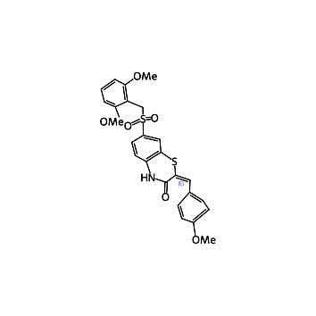 COc1ccc(/C=C2/Sc3cc(S(=O)(=O)Cc4c(OC)cccc4OC)ccc3NC2=O)cc1